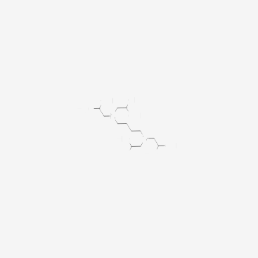 CC(O)CN(CCCCN(CC(C)O)CC(C)O)CC(C)O